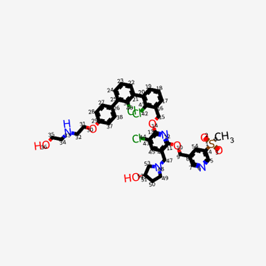 CS(=O)(=O)c1cncc(COc2nc(OCc3cccc(-c4cccc(-c5ccc(OCCNCCO)cc5)c4Cl)c3Cl)c(Cl)cc2CN2CC[C@H](O)C2)c1